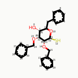 O[C@@H]1C(Cc2ccccc2)O[C@@H](S)[C@H](OCc2ccccc2)[C@@H]1OCc1ccccc1